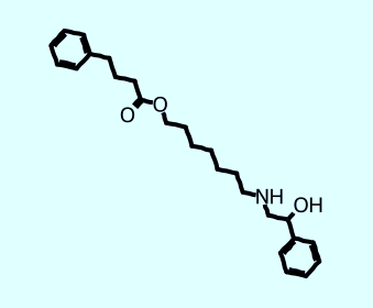 O=C(CCCc1ccccc1)OCCCCCCCNCC(O)c1ccccc1